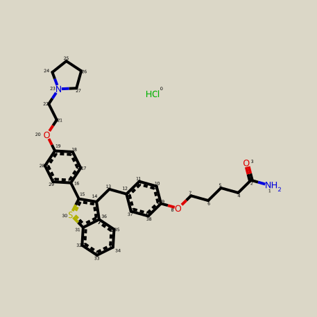 Cl.NC(=O)CCCCOc1ccc(Cc2c(-c3ccc(OCCN4CCCC4)cc3)sc3ccccc23)cc1